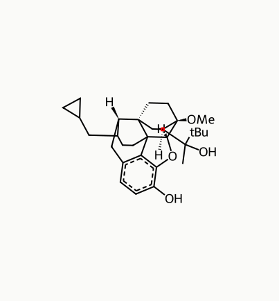 CO[C@]12CC[C@@]3(C[C@@H]1C(C)(O)C(C)(C)C)[C@H]1Cc4ccc(O)c5c4C3(CCC1CC1CC1)[C@H]2O5